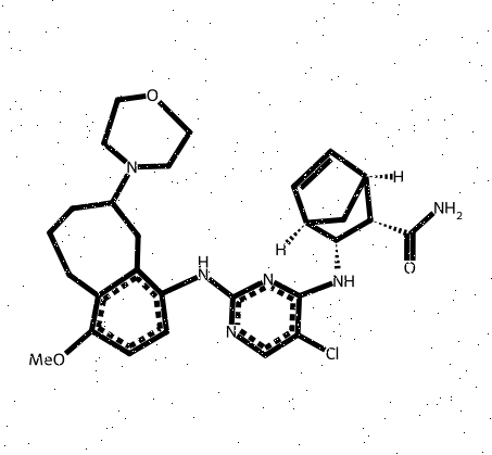 COc1ccc(Nc2ncc(Cl)c(N[C@H]3[C@@H](C(N)=O)[C@@H]4C=C[C@H]3C4)n2)c2c1CCCC(N1CCOCC1)C2